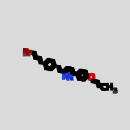 CCCCOc1ccc(-c2ccc(CC[C@H]3CC[C@H](CCCCBr)CC3)nn2)cc1